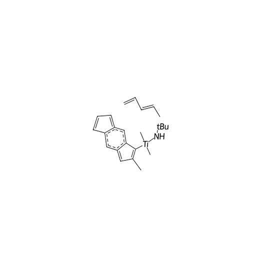 C=CC=CC.CC1=[C]([Ti]([CH3])([CH3])[NH]C(C)(C)C)c2cc3c(cc2=C1)C=CC=3